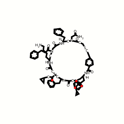 NCCCC[C@H]1CN(C(=O)CCc2ccccc2)CC(=O)N[C@@H](Cc2ccccc2)CN(CC(N)=O)C(=O)CCSCc2ccc(cc2)C(=O)N[C@@H](Cc2ccccc2)CN(C(=O)CC2CC2)CC(=O)NC(Cc2ccccc2)CN(C(=O)CC2CC2)CC(=O)N1